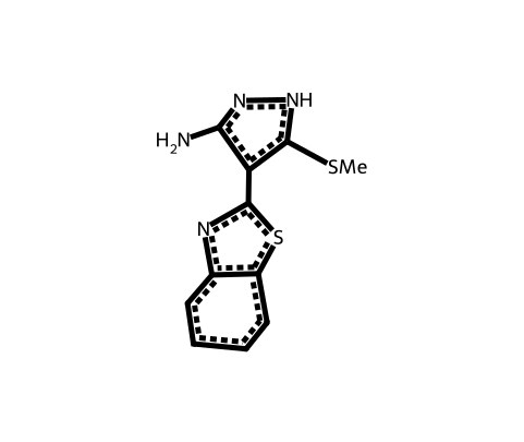 CSc1[nH]nc(N)c1-c1nc2ccccc2s1